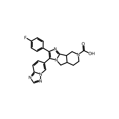 O=C(O)N1CCC2Cn3c(nc(-c4ccc(F)cc4)c3-c3ccc4ncnn4c3)C2C1